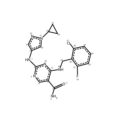 NC(=O)c1cnc(Nc2cnn(C3CC3)c2)nc1NCc1c(F)cccc1Cl